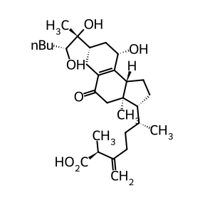 C=C(CC[C@@H](C)[C@H]1CC[C@H]2C3=C(C[C@H]([C@@](C)(O)[C@H](O)CCCC)C[C@@H]3O)C(=O)C[C@]12C)[C@H](C)C(=O)O